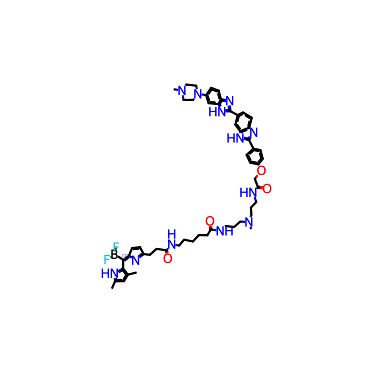 Cc1cc(C)c(/C(B(F)F)=C2/C=CC(CCC(=O)NCCCCCC(=O)NCCCN(C)CCCNC(=O)COc3ccc(-c4nc5ccc(-c6nc7ccc(N8CCN(C)CC8)cc7[nH]6)cc5[nH]4)cc3)=N2)[nH]1